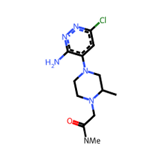 CNC(=O)CN1CCN(c2cc(Cl)nnc2N)CC1C